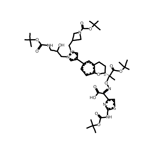 CC(C)(C)OC(=O)NCC(O)Cn1cc(-c2ccc3c(c2)CC[C@H](C(C)(O/N=C(\C(=O)O)c2csc(NC(=O)OC(C)(C)C)n2)C(=O)OC(C)(C)C)O3)c[n+]1CC1CN(C(=O)OC(C)(C)C)C1